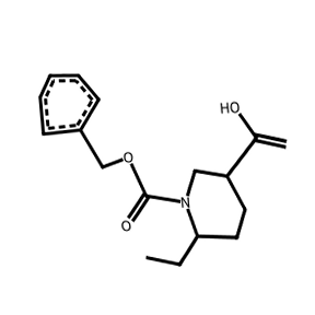 C=C(O)C1CCC(CC)N(C(=O)OCc2ccccc2)C1